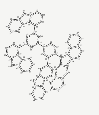 c1ccc2cc3c(cc2c1)c1ccc2ccccc2c1n3-c1ccc(-c2nc(-c3cccc4sc5ccccc5c34)nc(-c3cccc4sc5ccccc5c34)n2)cc1-c1ccc2c(c1)sc1ccccc12